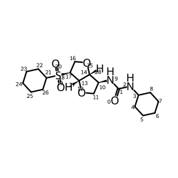 O=C(NC1CCCCC1)N[C@H]1CO[C@H]2[C@@H]1OC[C@@H]2S(=O)(=O)C1CCCCC1